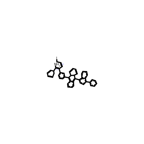 N/C(=C(\C=C/CI)c1cccc(C2=c3ccccc3=C(c3ccc(-c4ccccc4)c4ccccc34)C3C=CC=CC23)c1)C1C=CC=CC1